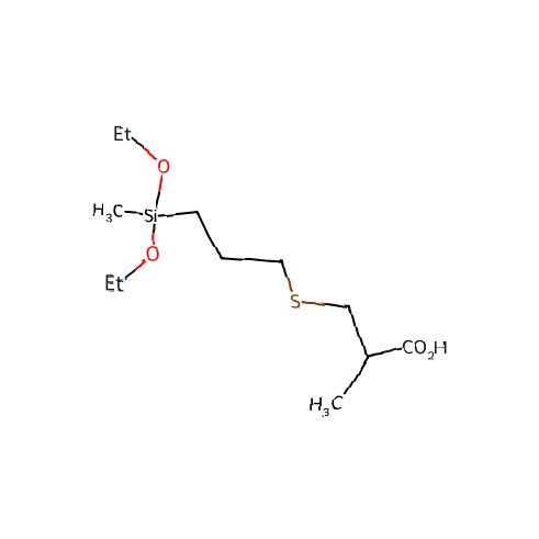 CCO[Si](C)(CCCSCC(C)C(=O)O)OCC